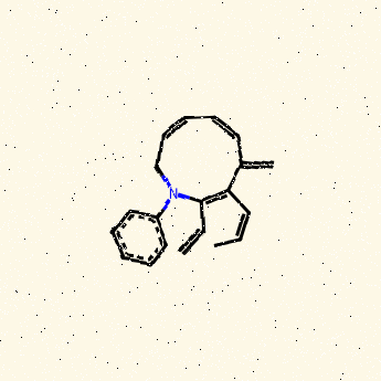 C=C/C1=C(\C=C/C)C(=C)/C=C\C=C/CN1c1ccccc1